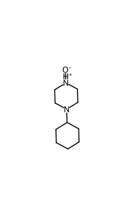 [O-][NH+]1CCN(C2CCCCC2)CC1